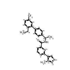 C[C@@H](NC(=O)c1ccnc(-c2cnnn2C)n1)c1ccc(-c2cc(C(F)(F)F)ccc2CN)cc1